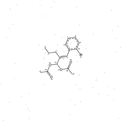 CCC/C(=C\c1ccccc1Br)C(OC(C)=O)OC(C)=O